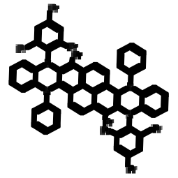 CC(C)c1cc(C(C)C)c(B2c3ccccc3N(c3ccccc3)c3c2c(C(C)C)c2ccc4c5c(c(C(C)C)c6ccc3c2c46)N(c2c(C(C)C)cc(C(C)C)cc2C(C)C)c2ccccc2B5c2ccccc2)c(C(C)C)c1